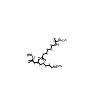 CCCCCCCCCCCCCCCC(CC(=O)OC(C)(C)C)OC(=O)CCCCCNC(=O)CCCCCCCCC